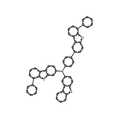 c1ccc(-c2cccc3c2oc2ccc(-c4ccc(N(c5ccc6c(c5)sc5c(-c7ccccc7)cccc56)c5ccc6sc7ccccc7c6c5)cc4)cc23)cc1